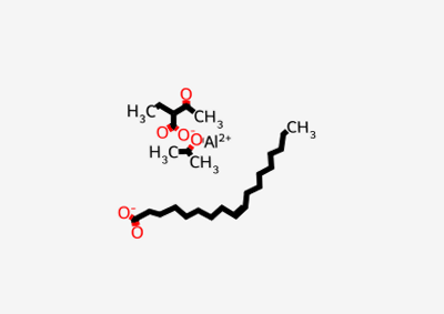 CC(C)[O][Al+2].CCC(C(C)=O)C(=O)[O-].CCCCCCCC/C=C\CCCCCCCC(=O)[O-]